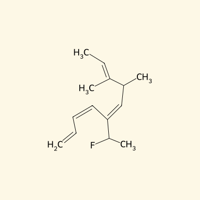 C=C/C=C\C(=C/C(C)/C(C)=C/C)C(C)F